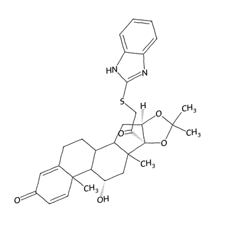 CC1(C)O[C@@H]2CC3C4CCC5=CC(=O)C=CC5(C)C4[C@@H](O)CC3(C)[C@]2(C(=O)CSc2nc3ccccc3[nH]2)O1